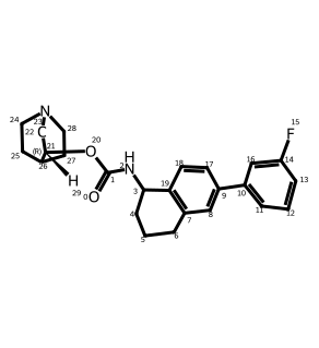 O=C(NC1CCCc2cc(-c3cccc(F)c3)ccc21)O[C@H]1CN2CCC1CC2